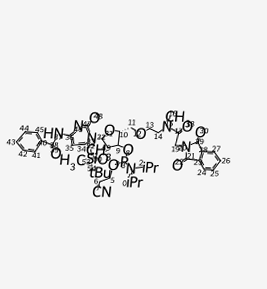 CC(C)N(C(C)C)P(OCCC#N)OC1[C@@H](COCCN(C)C(=O)CN2C(=O)c3ccccc3C2=O)O[C@@H](n2ccc(NC(=O)c3ccccc3)nc2=O)[C@H]1O[Si](C)(C)C(C)(C)C